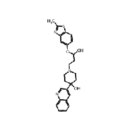 Cc1nc2cc(OC(O)CCN3CCC(O)(c4cnc5ccccc5c4)CC3)ccc2s1